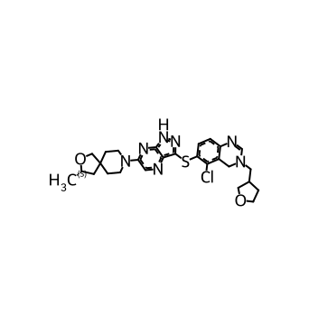 C[C@H]1CC2(CCN(c3cnc4c(Sc5ccc6c(c5Cl)CN(CC5CCOC5)C=N6)n[nH]c4n3)CC2)CO1